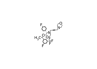 C[C@@H](O[C@H]1OCCN(CC#CCN2CCOCC2)[C@H]1c1ccc(F)cc1)c1cc(F)cc(C(F)(F)F)c1